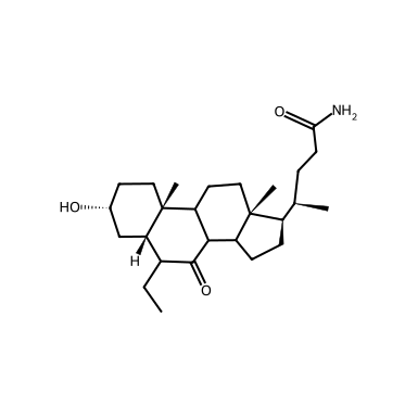 CCC1C(=O)C2C3CC[C@H]([C@H](C)CCC(N)=O)[C@@]3(C)CCC2[C@@]2(C)CC[C@@H](O)C[C@@H]12